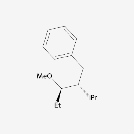 CC[C@@H](OC)[C@H](Cc1ccccc1)C(C)C